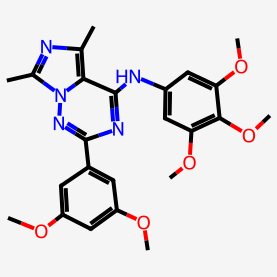 COc1cc(OC)cc(-c2nc(Nc3cc(OC)c(OC)c(OC)c3)c3c(C)nc(C)n3n2)c1